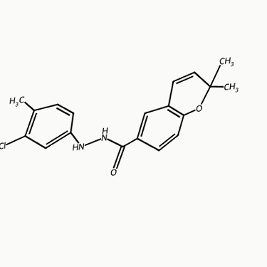 Cc1ccc(NNC(=O)c2ccc3c(c2)C=CC(C)(C)O3)cc1Cl